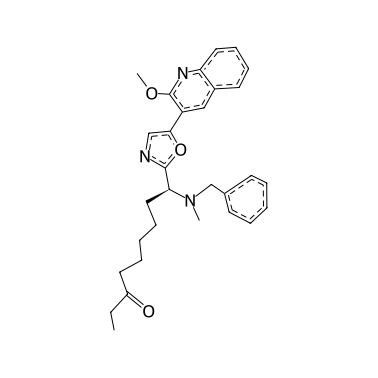 CCC(=O)CCCCC[C@@H](c1ncc(-c2cc3ccccc3nc2OC)o1)N(C)Cc1ccccc1